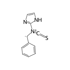 S=C=[N+]([CH]c1ccccc1)c1ncc[nH]1